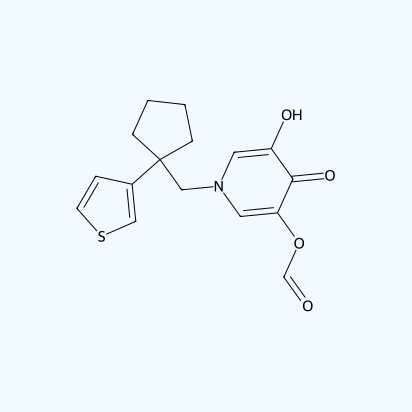 O=COc1cn(CC2(c3ccsc3)CCCC2)cc(O)c1=O